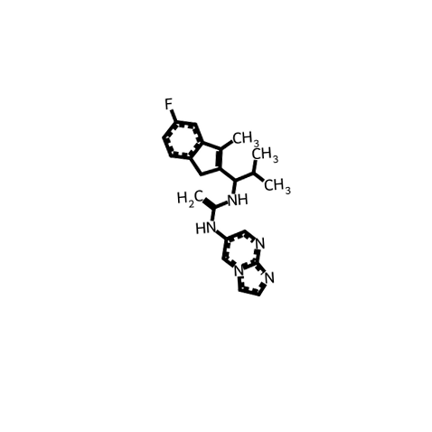 C=C(Nc1cnc2nccn2c1)NC(C1=C(C)c2cc(F)ccc2C1)C(C)C